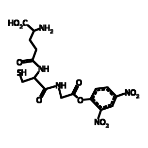 NC(CCC(=O)NC(CS)C(=O)NCC(=O)Oc1ccc([N+](=O)[O-])cc1[N+](=O)[O-])C(=O)O